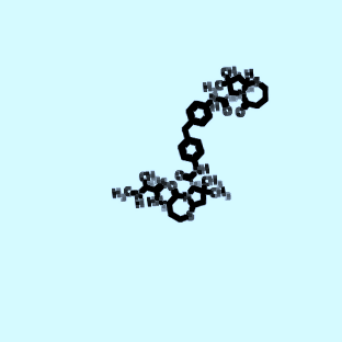 CN[C@@H](C)C(=S)N[C@H]1CCSC2CC(C)(C)[C@@H](C(=O)Nc3ccc(Cc4ccc(NC(=O)[C@H]5N6C(=O)CCCS[C@H]6CC5(C)C)cc4)cc3)N2C1=O